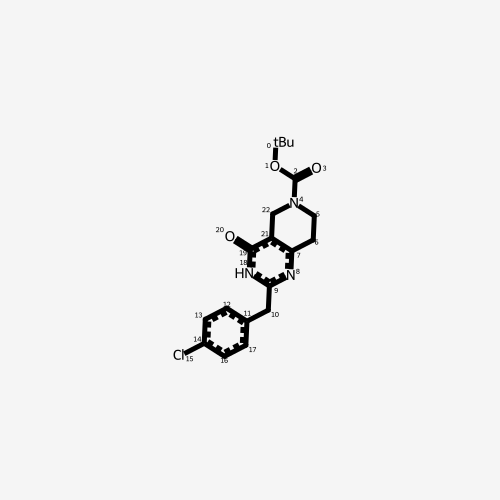 CC(C)(C)OC(=O)N1CCc2nc(Cc3ccc(Cl)cc3)[nH]c(=O)c2C1